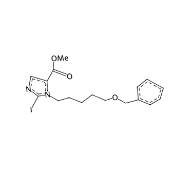 COC(=O)c1cnc(I)n1CCCCCOCc1ccccc1